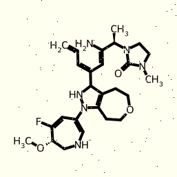 C=C/C=C(\C=C(/N)[C@@H](C)N1CCN(C)C1=O)C1NN(C2=CNC[C@H](OC)C(F)=C2)C2=C1CCOCC2